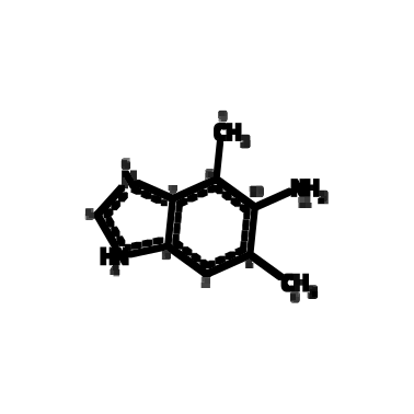 Cc1cc2[nH]cnc2c(C)c1N